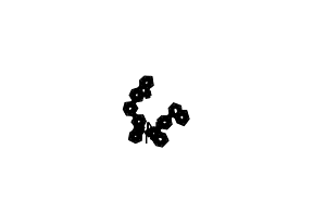 CC1(C)c2ccccc2-c2ccc(-c3cccc(-c4ccc5c(c4)c4ccccc4n5-c4nc(-c5ccc(C6=CCCc7ccccc76)cc5)c5ccccc5n4)c3)cc21